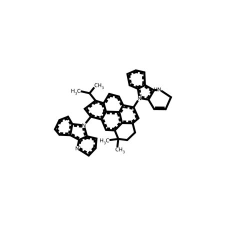 CC(C)c1cc(-n2c3ccccc3c3ncccc32)c2cc3c4c(cc(-n5c6c(c7ccccc75)NCC=C6)c5ccc1c2c54)CCC3(C)C